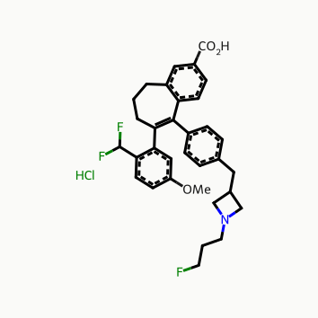 COc1ccc(C(F)F)c(C2=C(c3ccc(CC4CN(CCCF)C4)cc3)c3ccc(C(=O)O)cc3CCC2)c1.Cl